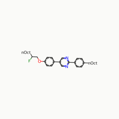 CCCCCCCCc1ccc(-c2ncc(-c3ccc(OCC(F)CCCCCCCC)cc3)cn2)cc1